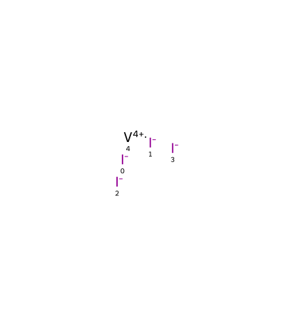 [I-].[I-].[I-].[I-].[V+4]